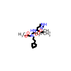 COC(=O)CN(CCCc1ccccc1)CC(=O)NC(Cc1c[nH]cn1)C(=O)OC(C)(C)C